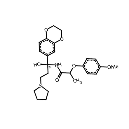 COc1ccc(OC(C)C(=O)N[C@](O)(CCN2CCCC2)c2ccc3c(c2)OCCO3)cc1